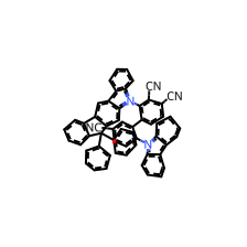 N#Cc1ccc(-n2c3ccccc3c3ccccc32)c(-c2ccc(C#N)c(C#N)c2-n2c3ccccc3c3cc4c(cc32)C(c2ccccc2)(c2ccccc2)c2ccccc2-4)c1